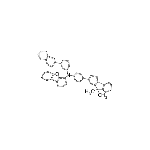 CC1(C)c2ccccc2-c2ccc(-c3ccc(N(c4cccc(-c5ccc6ccccc6c5)c4)c4cccc5c4oc4ccccc45)cc3)cc21